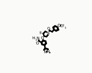 Cn1cc(-c2ccc(OC3CCN(C(=O)Cc4ccc(OC(F)(F)F)cc4)C[C@H]3F)c(C(N)=O)c2)cn1